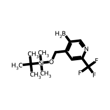 Bc1cnc(C(F)(F)F)cc1CO[Si](C)(C)C(C)(C)C